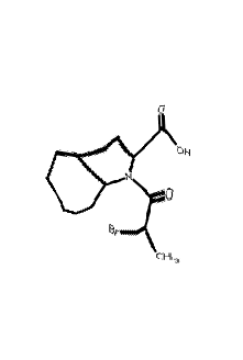 CC(Br)C(=O)N1C(C(=O)O)CC2CCCCC21